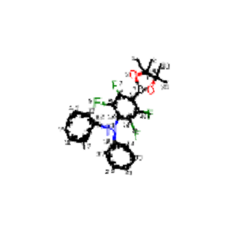 CC1(C)OB(c2c(F)c(F)c(N(c3ccccc3)c3ccccc3)c(F)c2F)OC1(C)C